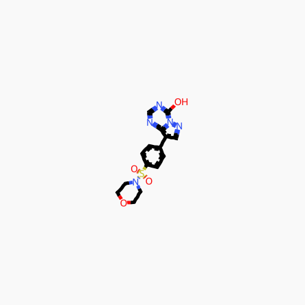 O=S(=O)(c1ccc(-c2cnn3c(O)ncnc23)cc1)N1CCOCC1